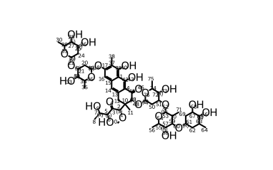 CO[C@H](C(=O)[C@@H](O)[C@@H](C)O)C1(C)Cc2cc3cc(O[C@H]4C[C@@H](O[C@H]5C[C@@H](O)[C@H](O)C(C)O5)[C@H](O)C(C)O4)c(C)c(O)c3c(O)c2C(=O)[C@@H]1O[C@H]1CC(O[C@@H]2OC(C)[C@@H](O)C(O[C@@H]3CC(C)[C@H](O)C(O)C3)C2C)[C@H](O)C(C)O1